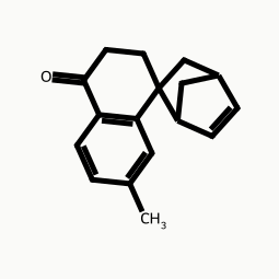 Cc1ccc2c(c1)C1(CCC2=O)CC2C=CC1C2